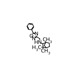 CC12CCC(C1)C(C)(C)C2NCc1noc(-c2ccccc2)n1